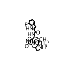 C[Si](C)(C)C[C@H](NC(=O)c1cc2cccc(F)c2[nH]1)C(=O)N[C@@H](C[C@@H]1CCNC1=O)C(N)=O